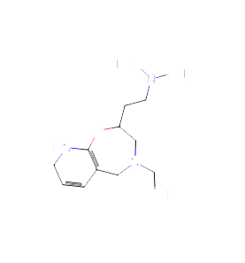 CCN1CC2=C(NCC=C2)OC(CCN(C)C)C1